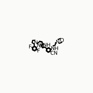 N#Cc1ccc(-c2cnc(/C=C\C(=N)N3CCCC3c3cc(F)ccc3F)[nH]2)cc1NCCCN1CCOCC1